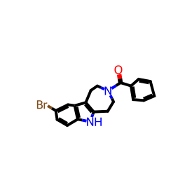 O=C(c1ccccc1)N1CCc2[nH]c3ccc(Br)cc3c2CC1